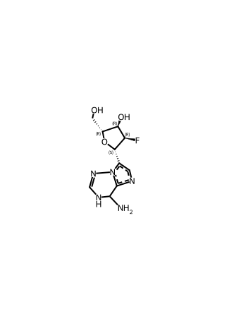 NC1NC=Nn2c([C@@H]3O[C@H](CO)[C@@H](O)[C@H]3F)cnc21